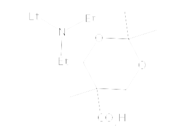 CC1(C)OCC(C)(C(=O)O)CO1.CCN(CC)CC